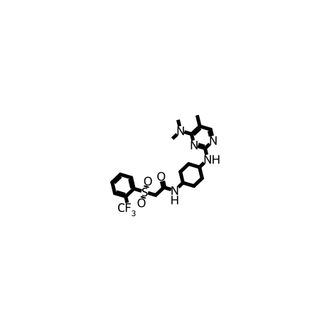 Cc1cnc(NC2CCC(NC(=O)CS(=O)(=O)c3ccccc3C(F)(F)F)CC2)nc1N(C)C